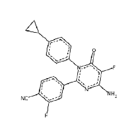 N#Cc1ccc(-c2nc(N)c(F)c(=O)n2-c2ccc(C3CC3)cc2)cc1F